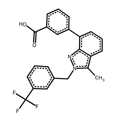 Cc1c2cccc(-c3cccc(C(=O)O)c3)c2nn1Cc1cccc(C(F)(F)F)c1